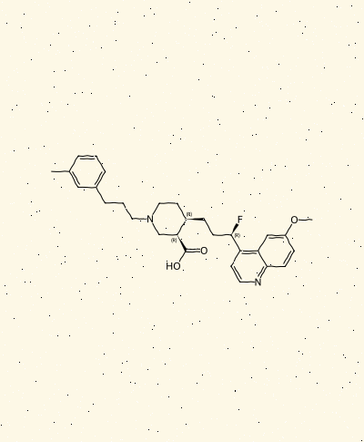 COc1ccc2nccc([C@H](F)CC[C@@H]3CCN(CCCc4cccc(C)c4)C[C@@H]3C(=O)O)c2c1